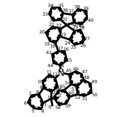 CC1(C)c2ccccc2-c2ccc(N(c3ccc(-c4cccc5c4-c4ccccc4C54c5ccccc5-c5ccccc54)cc3)c3ccc4cccc5c4c3-c3ccccc3-5)cc21